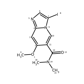 COc1cc2ncc(I)n2cc1C(=O)N(C)C